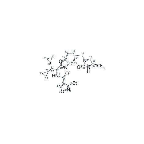 CCc1nonc1C(=O)N[C@H](c1nc2cc(CN3C[C@@H](C(F)(F)F)NC3=O)ccc2o1)C(C1CC1)C1CC1